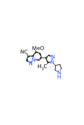 COc1cc(-c2cnn([C@H]3CCNC3)c2C)cn2ncc(C#N)c12